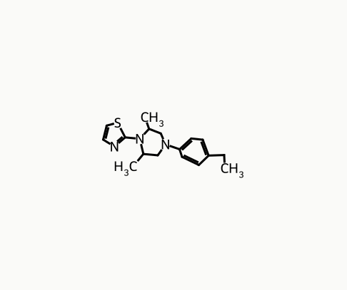 CCc1ccc(N2CC(C)N(c3nccs3)C(C)C2)cc1